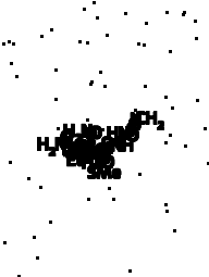 C=NOCC(=O)NCCNC(=O)CNC(=O)[C@H](CCSC)NC(=O)[C@H](CCC(N)=O)NC(=O)[C@H](CCC(N)=O)NC(=O)CC